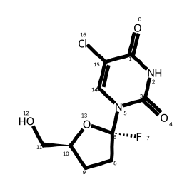 O=c1[nH]c(=O)n([C@@]2(F)CC[C@@H](CO)O2)cc1Cl